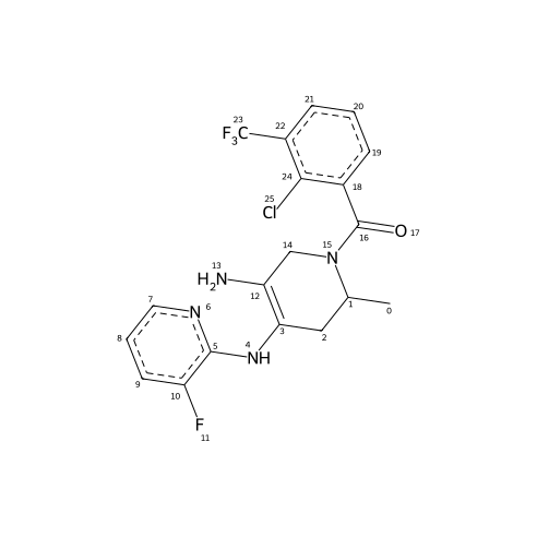 CC1CC(Nc2ncccc2F)=C(N)CN1C(=O)c1cccc(C(F)(F)F)c1Cl